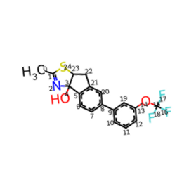 CC1=NC2(O)c3ccc(-c4cccc(OC(F)(F)F)c4)cc3CC2S1